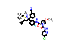 CO[C@@H]1C[C@H](C(=O)Nc2cc(C(CCC3CC3)(NSC(C)(C)C)c3cccc(C#N)c3)ccc2F)N(C(=O)Nc2ccc(Cl)cn2)C1